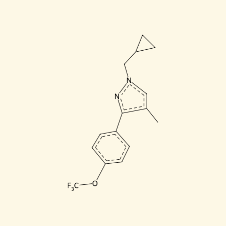 Cc1cn(CC2CC2)nc1-c1ccc(OC(F)(F)F)cc1